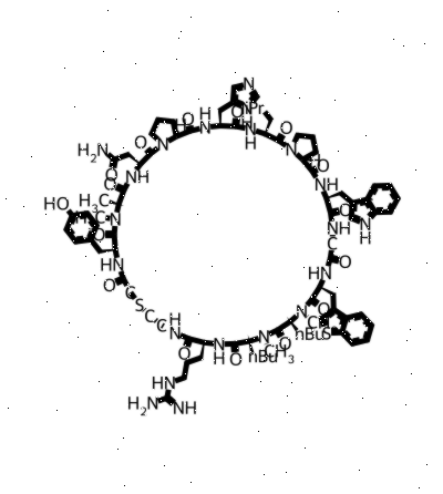 CCCC[C@H]1C(=O)N(C)[C@@H](CCCC)C(=O)N[C@@H](CCCNC(=N)N)C(=O)NCCSCC(=O)N[C@@H](Cc2ccc(O)cc2)C(=O)N(C)[C@@H](C)C(=O)N[C@@H](CC(N)=O)C(=O)N2CCC[C@H]2C(=O)N[C@@H](Cc2cnc[nH]2)C(=O)N[C@@H](CC(C)C)C(=O)N2CCC[C@H]2C(=O)N[C@@H](Cc2c[nH]c3ccccc23)C(=O)NCC(=O)N[C@@H](Cc2csc3ccccc23)C(=O)N1C